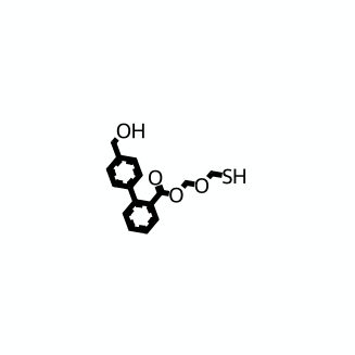 O=C(OCOCS)c1ccccc1-c1ccc(CO)cc1